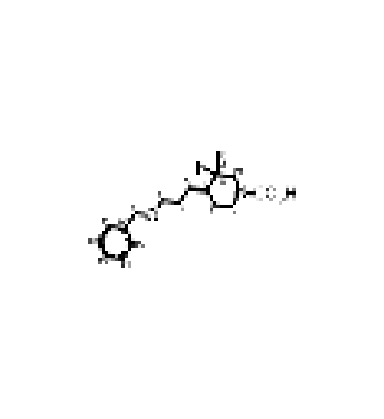 O=C(O)N1CC/C(=C\CCOCc2ccccc2)C(F)(F)C1